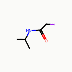 CC(C)NC(=O)CI